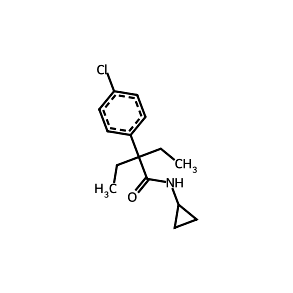 CCC(CC)(C(=O)NC1CC1)c1ccc(Cl)cc1